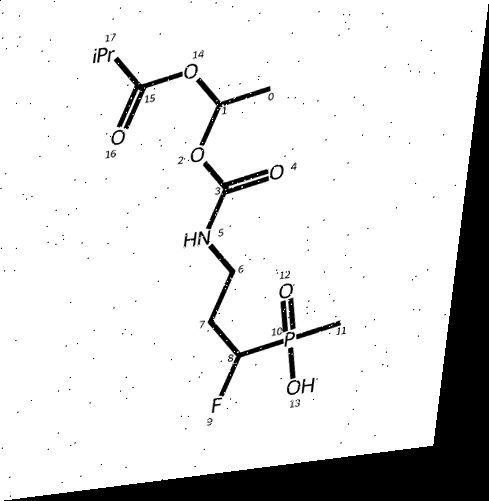 CC(OC(=O)NCCC(F)P(C)(=O)O)OC(=O)C(C)C